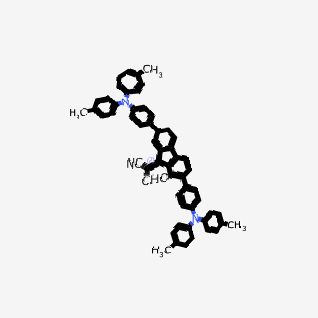 CC1=CCC=C(N(c2ccc(C)cc2)c2ccc(C3C=C4C(=CC3)c3ccc(-c5ccc(N(C6=CC=C(C)CC6)c6ccc(C)cc6)cc5)cc3/C4=C(/C#N)C=O)cc2)C=C1